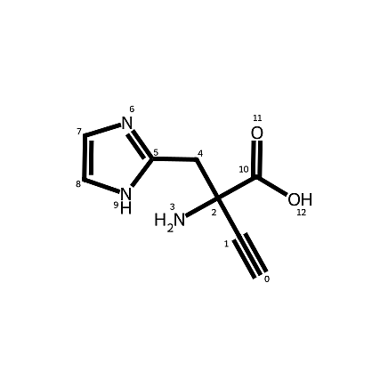 C#CC(N)(Cc1ncc[nH]1)C(=O)O